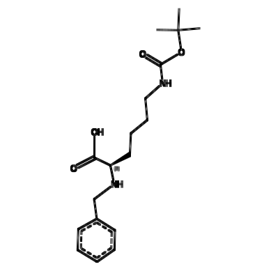 CC(C)(C)OC(=O)NCCCC[C@@H](NCc1ccccc1)C(=O)O